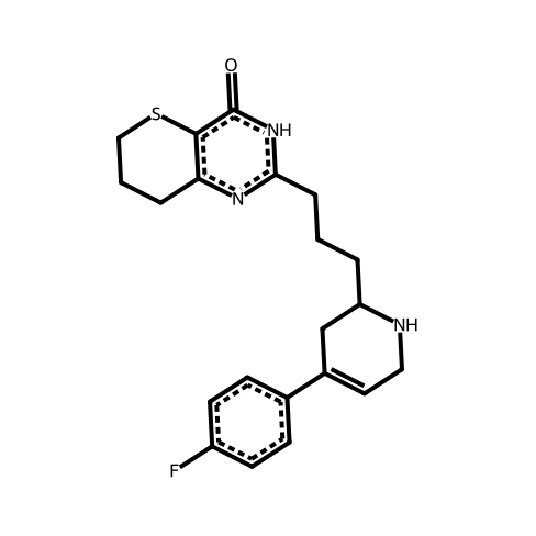 O=c1[nH]c(CCCC2CC(c3ccc(F)cc3)=CCN2)nc2c1SCCC2